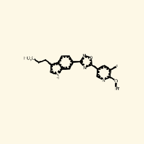 CC(C)Oc1ncc(-c2nc(-c3ccc4c(CCC(=O)O)c[nH]c4c3)no2)cc1F